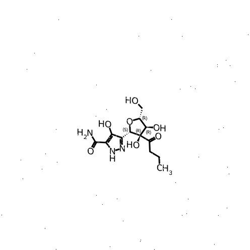 CCCC(=O)[C@@]1(O)[C@H](O)[C@@H](CO)O[C@H]1c1n[nH]c(C(N)=O)c1O